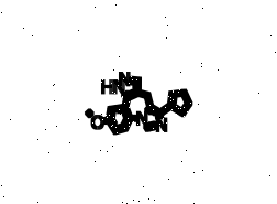 COc1ccc2c(c1)-c1[nH]ncc1Cc1c(C3=CCCC3)ncn1-2